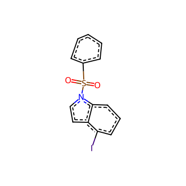 O=S(=O)(c1ccccc1)n1ccc2c(I)cccc21